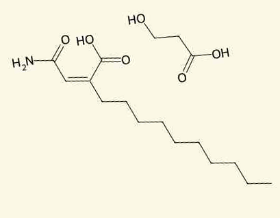 CCCCCCCCCCC(=CC(N)=O)C(=O)O.O=C(O)CCO